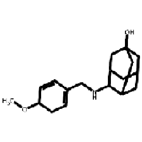 COC1C=CC(CNC2C3CC4CC2CC(O)(C4)C3)=CC1